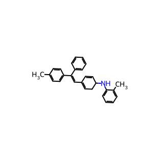 Cc1ccc(C(=CC2=CCC(Nc3ccccc3C)C=C2)c2ccccc2)cc1